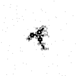 CCC[C@H](c1ccc(C(=O)NCCC(=O)O)cc1)N1C(=O)C(c2cccc(OC(F)(F)F)c2)=NC12CCC(C(C)(C)CC)CC2